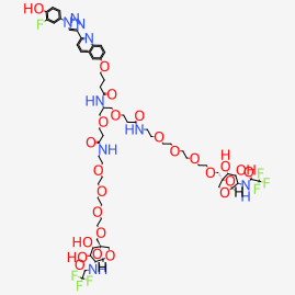 O=C(CCOCC(COCCC(=O)NCCOCCOCCOCCOC[C@@]12CO[C@@H](O1)[C@H](NC(=O)C(F)(F)F)[C@@H](O)[C@H]2O)NC(=O)CCCOc1ccc2nc(-c3cn(-c4ccc(O)c(F)c4)nn3)ccc2c1)NCCOCCOCCOCCOC[C@@]12CO[C@@H](O1)[C@H](NC(=O)C(F)(F)F)[C@@H](O)[C@H]2O